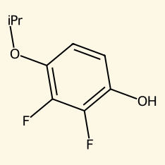 CC(C)Oc1ccc(O)c(F)c1F